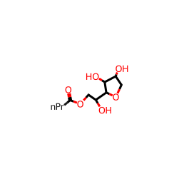 CCCC(=O)OCC(O)C1OCC(O)C1O